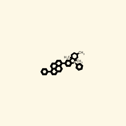 CC1CCC2(C)c3cc(-c4ccc5ccc6c(-c7ccccc7)ccc7ccc4c5c76)ccc3N(c3ccccc3)C2(C)C1